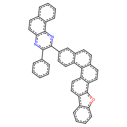 c1ccc(-c2nc3ccc4ccccc4c3nc2-c2ccc3c(ccc4ccc5c(ccc6c7ccccc7oc65)c43)c2)cc1